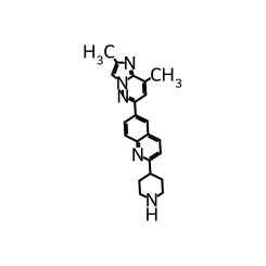 Cc1cn2nc(-c3ccc4nc(C5CCNCC5)ccc4c3)cc(C)c2n1